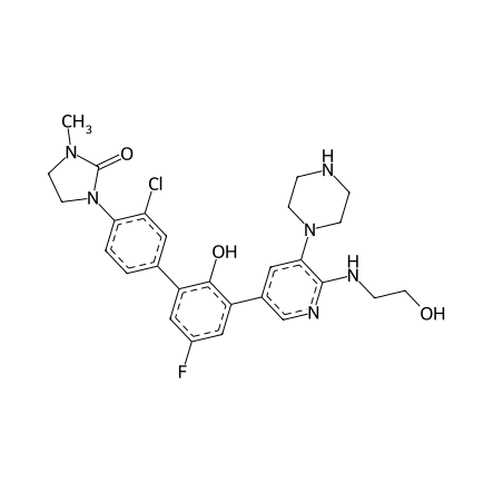 CN1CCN(c2ccc(-c3cc(F)cc(-c4cnc(NCCO)c(N5CCNCC5)c4)c3O)cc2Cl)C1=O